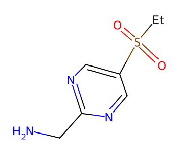 CCS(=O)(=O)c1cnc(CN)nc1